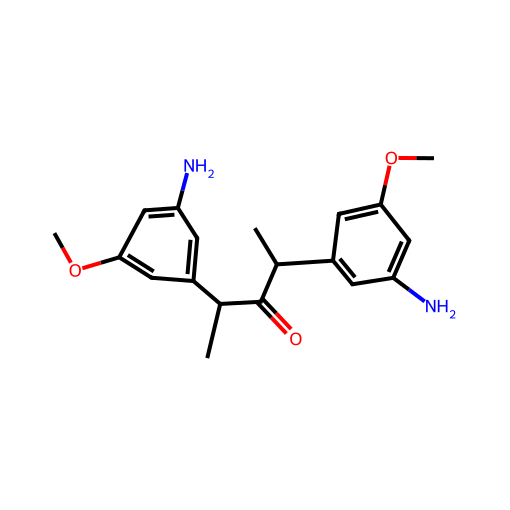 COc1cc(N)cc(C(C)C(=O)C(C)c2cc(N)cc(OC)c2)c1